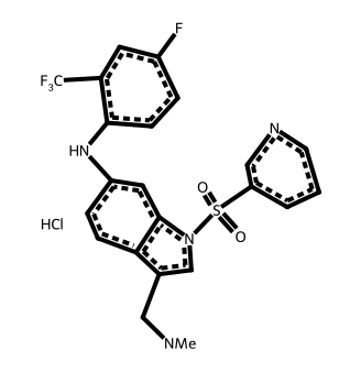 CNCc1cn(S(=O)(=O)c2cccnc2)c2cc(Nc3ccc(F)cc3C(F)(F)F)ccc12.Cl